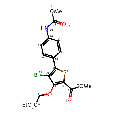 CCOC(=O)COc1c(C(=O)OC)sc(-c2ccc(NC(=O)OC)cc2)c1Br